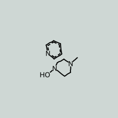 CN1CCN(O)CC1.c1ccncc1